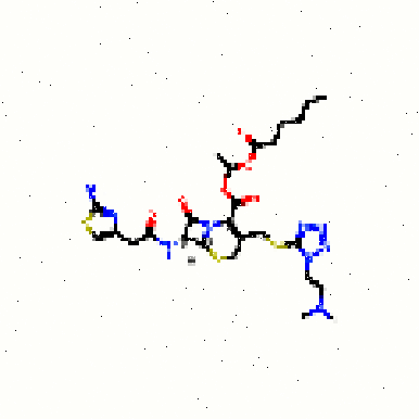 CCCCCC(=O)OC(C)OC(=O)C1=C(CSc2nnnn2CCN(C)C)CS[C@H]2[C@H](NC(=O)Cc3csc(N)n3)C(=O)N12